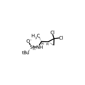 C[C@@H](N[S@@+]([O-])C(C)(C)C)[C@H]1CC1(Cl)Cl